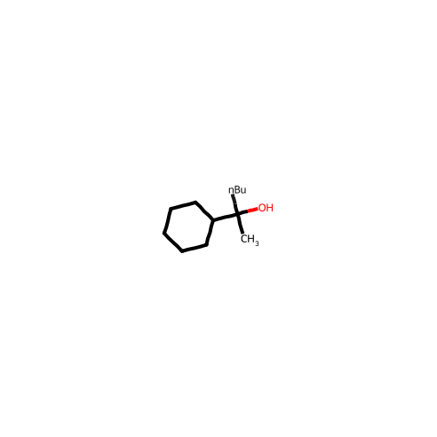 CCCCC(C)(O)C1CCCCC1